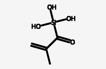 C=C(C)C(=O)[Si](O)(O)O